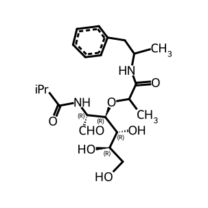 CC(Cc1ccccc1)NC(=O)C(C)O[C@@H]([C@H](O)[C@H](O)CO)[C@H](C=O)NC(=O)C(C)C